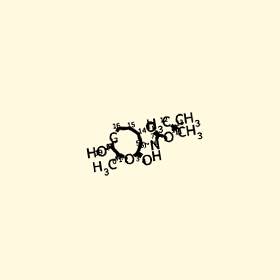 C[C@@H]1OC(=O)[C@@H](NC(=O)OC(C)(C)C)CCCC[C@H]1O